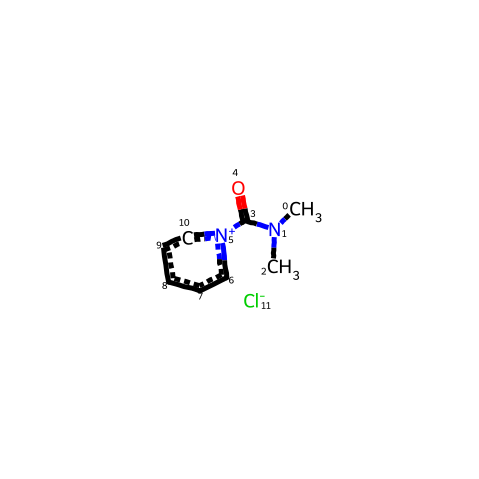 CN(C)C(=O)[n+]1ccccc1.[Cl-]